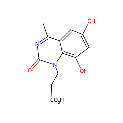 Cc1nc(=O)n(CCC(=O)O)c2c(O)cc(O)cc12